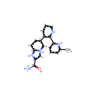 Cc1cccc(-c2ncccc2-c2ccc3nc(C(N)=O)cn3c2)n1